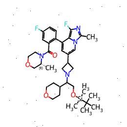 Cc1nc(F)c2c(-c3ccc(F)cc3C(=O)N3CCOC[C@H]3C)cc(C3CN(C(CO[Si](C)(C)C(C)(C)C)C4CCOCC4)C3)cn12